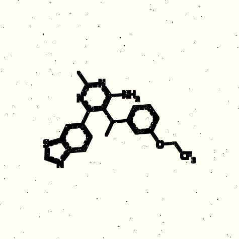 Cc1nc(N)c(C(C)c2cccc(OCC(F)(F)F)c2)c(-c2ccc3ncsc3c2)n1